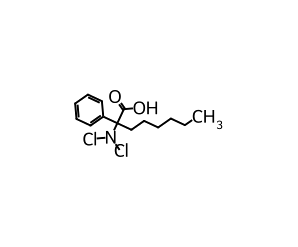 CCCCCCC(C(=O)O)(c1ccccc1)N(Cl)Cl